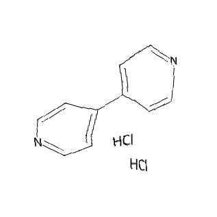 Cl.Cl.c1cc(-c2ccncc2)ccn1